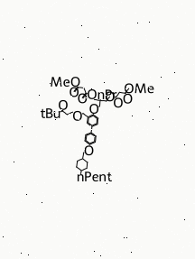 CCCCCC1CCC(COc2ccc(-c3ccc(OCC(CCC)(COC(=O)CC(=O)OC)COC(=O)CC(=O)OC)c(COCCC(=O)C(C)(C)C)c3)cc2)CC1